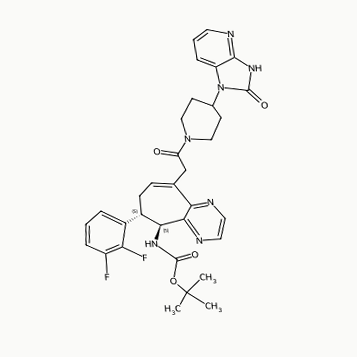 CC(C)(C)OC(=O)N[C@@H]1c2nccnc2C(CC(=O)N2CCC(n3c(=O)[nH]c4ncccc43)CC2)=CC[C@H]1c1cccc(F)c1F